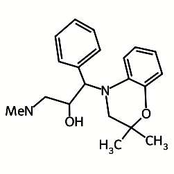 CNCC(O)C(c1ccccc1)N1CC(C)(C)Oc2ccccc21